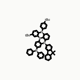 CC(C)(C)c1ccc(N2c3ccc(C(C)(C)C)cc3B3c4ccc(N(c5ccccc5)c5ccccc5)cc4N(c4ccc5c(c4)-c4ccccc4C5(C)C)c4cccc2c43)cc1